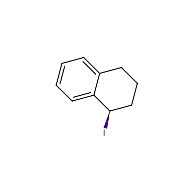 I[C@@H]1CCCc2ccccc21